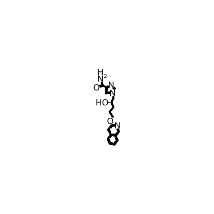 NC(=O)c1cn(C[C@@H](O)CCCOc2cc3ccccc3cn2)cn1